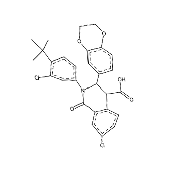 CC(C)(C)c1ccc(N2C(=O)c3cc(Cl)ccc3C(C(=O)O)C2c2ccc3c(c2)OCCO3)cc1Cl